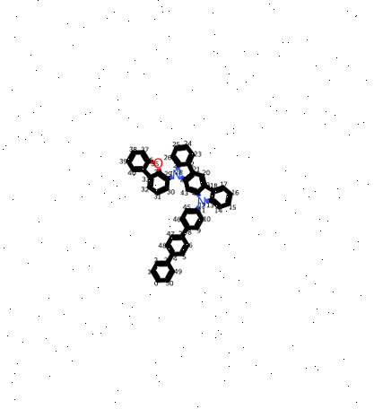 c1ccc(-c2ccc(-c3ccc(-n4c5ccccc5c5cc6c7ccccc7n(-c7cccc8c7oc7ccccc78)c6cc54)cc3)cc2)cc1